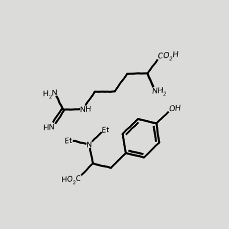 CCN(CC)C(Cc1ccc(O)cc1)C(=O)O.N=C(N)NCCCC(N)C(=O)O